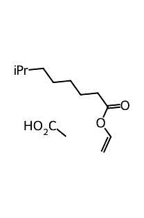 C=COC(=O)CCCCCC(C)C.CC(=O)O